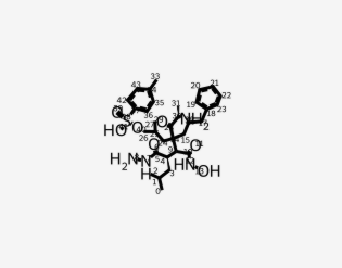 CC(C)C[C@@H](C(=O)NN)C(C(=O)NO)C(CCCc1ccccc1)(CC(C)C)C(=O)[C@@H](C)N.Cc1ccc(S(=O)(=O)O)cc1